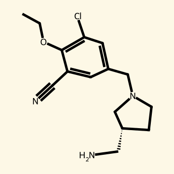 CCOc1c(Cl)cc(CN2CC[C@H](CN)C2)cc1C#N